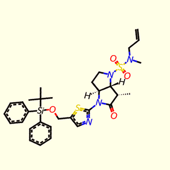 C=CCN(C)S(=O)(=O)N1CC[C@H]2[C@H]1[C@H](C)C(=O)N2c1ncc(CO[Si](c2ccccc2)(c2ccccc2)C(C)(C)C)s1